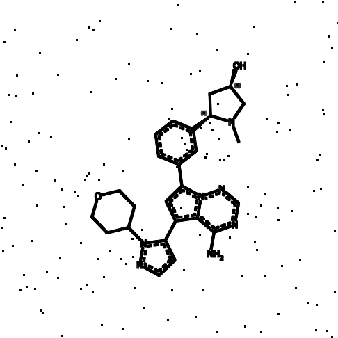 CN1C[C@H](O)C[C@@H]1c1cccc(-c2cc(-c3ccnn3C3CCOCC3)c3c(N)ncnn23)c1